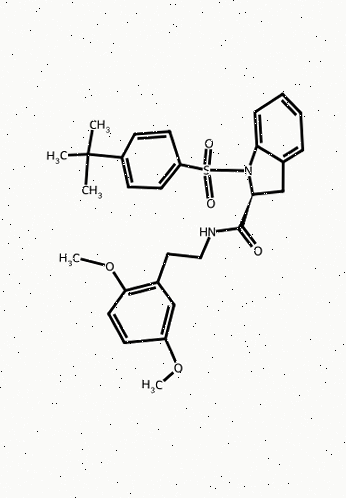 COc1ccc(OC)c(CCNC(=O)[C@@H]2Cc3ccccc3N2S(=O)(=O)c2ccc(C(C)(C)C)cc2)c1